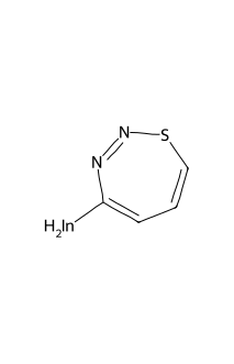 [InH2][C]1=CC=CSN=N1